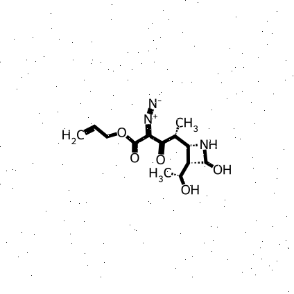 C=CCOC(=O)C(=[N+]=[N-])C(=O)[C@H](C)[C@@H]1NC(O)[C@@H]1[C@@H](C)O